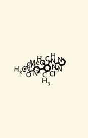 COc1c([C@H](C)Nc2ncnc3cccnc23)cc(Cl)c(C)c1-c1ccc(C(=O)N(C)C)nc1